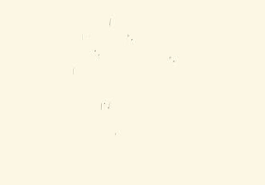 C=NC(C1CNC(=O)c2cccc3[nH]cc1c23)N(C)C